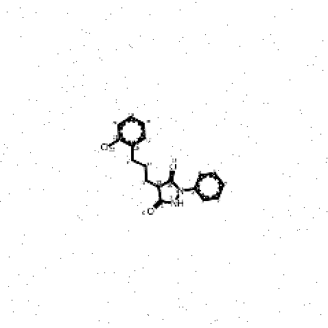 O=C1NN(c2ccccc2)C(=O)C1CCCc1ccccc1Cl